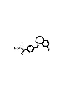 O=C(NO)c1ccc(CN2CCCCc3ccc(F)cc32)cc1